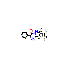 CC(C)=Nn1c(C)nnc(-c2ccccc2)c1=O